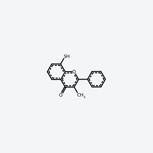 Cc1c(-c2ccccc2)oc2c(S)cccc2c1=O